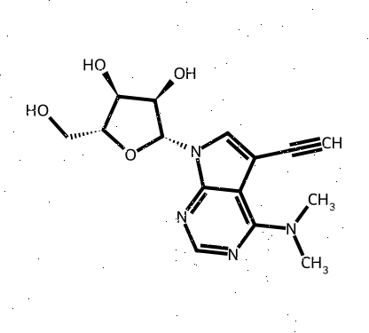 C#Cc1cn([C@@H]2O[C@H](CO)[C@@H](O)[C@H]2O)c2ncnc(N(C)C)c12